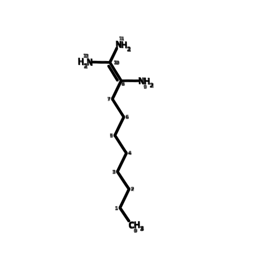 CCCCCCCCC(N)=C(N)N